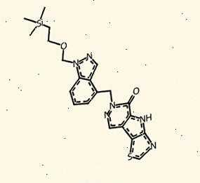 C[Si](C)(C)CCOCn1ncc2c(Cn3ncc4c([nH]c5ncsc54)c3=O)cccc21